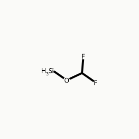 FC(F)O[SiH3]